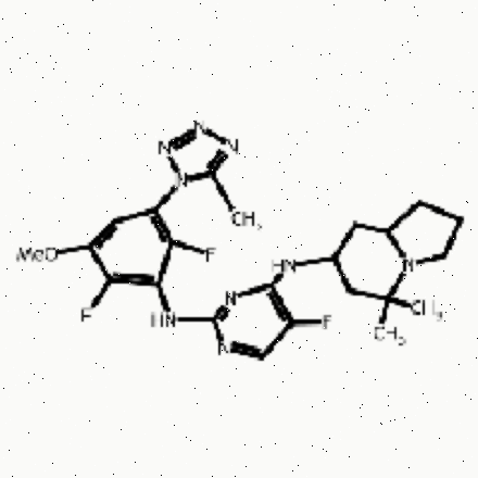 COc1cc(-n2nnnc2C)c(F)c(Nc2ncc(F)c(NC3CC4CCCN4C(C)(C)C3)n2)c1F